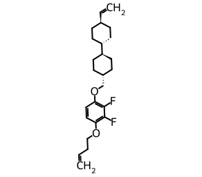 C=CCCOc1ccc(OC[C@H]2CC[C@H]([C@H]3CC[C@H](C=C)CC3)CC2)c(F)c1F